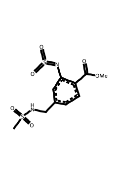 COC(=O)c1ccc(CNS(C)(=O)=O)cc1N=S(=O)=O